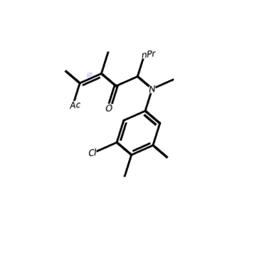 CCCC(C(=O)/C(C)=C(/C)C(C)=O)N(C)c1cc(C)c(C)c(Cl)c1